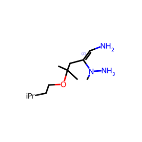 CC(C)CCOC(C)(C)C/C(=C/N)N(C)N